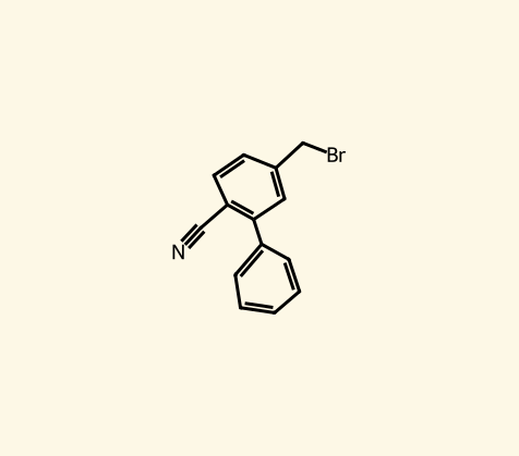 N#Cc1ccc(CBr)cc1-c1ccccc1